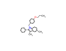 CCCOc1ccc(Cn2c(-c3ccccc3)c(C)c3cc(C)ccc32)cc1